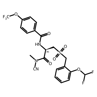 CN(C#N)C(=O)[C@H](CS(=O)(=O)Cc1ccccc1OC(F)F)NC(=O)c1ccc(OC(F)(F)F)cc1